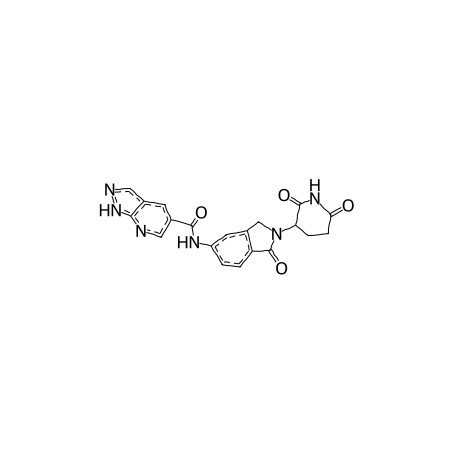 O=C1CCC(N2Cc3cc(NC(=O)c4cnc5[nH]ncc5c4)ccc3C2=O)C(=O)N1